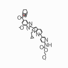 COCCOC(=O)Nc1ccc(-c2ccc3cc(-c4nc5cc(C(=O)N6CC7CCC6[C@@H]7C)cc(OC)c5n4C)n(CC4CC4)c3n2)cn1